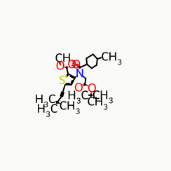 COC(=O)c1sc(C#CC(C)(C)C)cc1N(CC(=O)OC(C)(C)C)C(=O)C1CCC(C)CC1